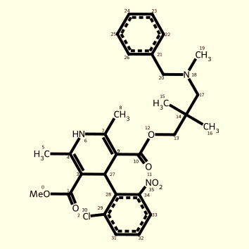 COC(=O)C1=C(C)NC(C)=C(C(=O)OCC(C)(C)CN(C)Cc2ccccc2)C1c1c(Cl)cccc1[N+](=O)[O-]